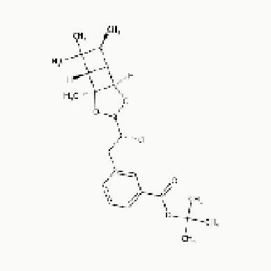 C[C@H]1C2[C@H]3OB([C@H](Cl)Cc4cccc(C(=O)OC(C)(C)C)c4)O[C@@]3(C)[C@@H]2C1(C)C